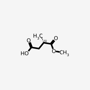 COC(=O)[C@@H](C)CC(=O)O